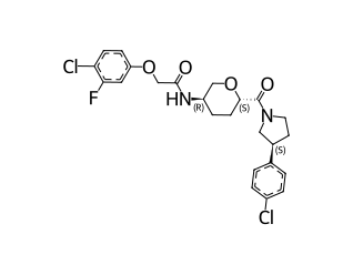 O=C(COc1ccc(Cl)c(F)c1)N[C@@H]1CC[C@@H](C(=O)N2CC[C@@H](c3ccc(Cl)cc3)C2)OC1